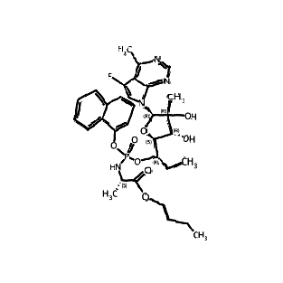 CCCCOC(=O)[C@H](C)NP(=O)(Oc1cccc2ccccc12)O[C@H](CC)[C@H]1O[C@@H](n2cc(F)c3c(C)ncnc32)[C@](C)(O)[C@@H]1O